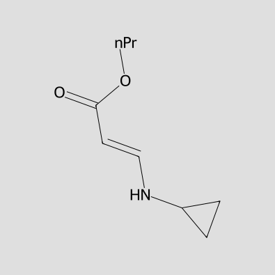 CCCOC(=O)C=CNC1CC1